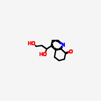 O=C1CCCc2c([C@@H](O)CCO)ccnc21